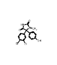 CN1C(=O)NC(=O)C1(c1ccc(O)cc1)c1ccc(Cl)c(Cl)c1